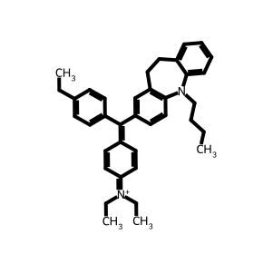 CCCCN1c2ccccc2CCc2cc(C(=C3C=CC(=[N+](CC)CC)C=C3)c3ccc(CC)cc3)ccc21